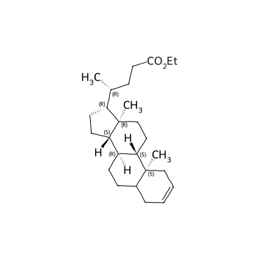 CCOC(=O)CC[C@@H](C)[C@H]1CC[C@H]2[C@@H]3CCC4CC=CC[C@]4(C)[C@H]3CC[C@]12C